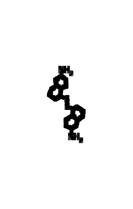 Nc1ccc2c(SSc3cccc4cc(N)ccc34)cccc2c1